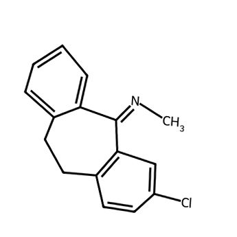 CN=C1c2ccccc2CCc2ccc(Cl)cc21